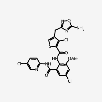 COc1cc(Cl)cc(C(=O)Nc2ccc(Cl)cn2)c1NC(=O)c1scc(Cc2noc(N)n2)c1Cl